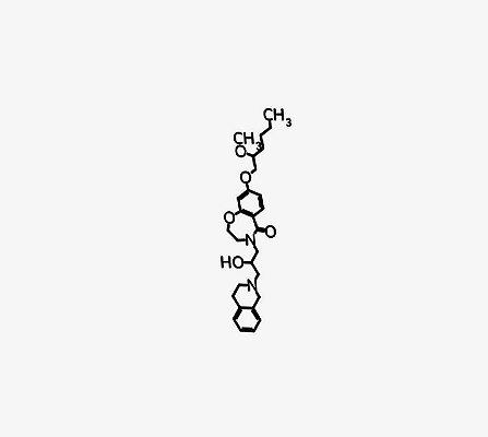 CCCCC(COc1ccc2c(c1)OCCN(CC(O)CN1CCc3ccccc3C1)C2=O)OC